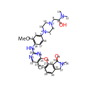 COc1cc(N2CCN(CC(O)N(C)C)CC2)ccc1Nc1ncc(C(F)(F)F)c(Oc2cccc3c2C(=O)N(C)C3)n1